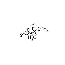 CCCC(CC)(CC)SC(C)CCS